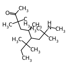 CCC(C)(C)C(CC(C)(C)NC)C(C)CC(C)(C)C(C)=O